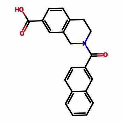 O=C(O)c1ccc2c(c1)CN(C(=O)c1ccc3ccccc3c1)CC2